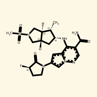 C[C@H]1[C@@H]2CN(S(C)(=O)=O)C[C@H]2C[C@H]1Nc1c(C(N)=O)cnn2cc(N3CC[C@@H](F)C3=O)cc12